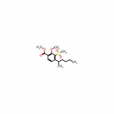 CCCCC(C)c1ccc(C(=O)OC)c(OC)c1S(C)(=O)=O